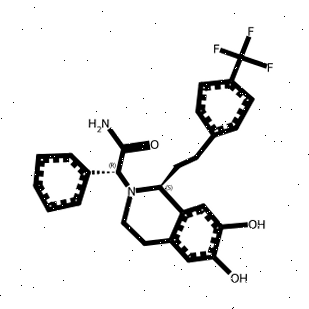 NC(=O)[C@@H](c1ccccc1)N1CCc2cc(O)c(O)cc2[C@@H]1CCc1ccc(C(F)(F)F)cc1